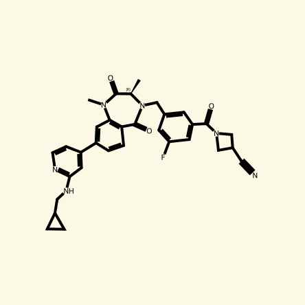 C[C@@H]1C(=O)N(C)c2cc(-c3ccnc(NCC4CC4)c3)ccc2C(=O)N1Cc1cc(F)cc(C(=O)N2CC(C#N)C2)c1